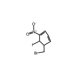 O=[N+]([O-])C1=CC=CC(CBr)C1I